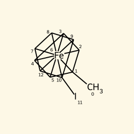 C[C]12[CH]3[CH]4[CH]5[CH]1[Fe]45321678[CH]2[CH]1[CH]6[C]7(I)[CH]28